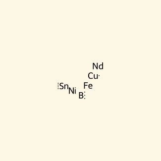 [B].[Cu].[Fe].[Nd].[Ni].[Sn]